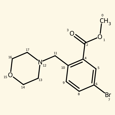 COC(=O)c1cc(Br)ccc1CN1CCOCC1